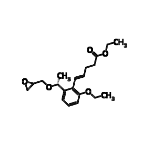 CCOC(=O)CC/C=C/c1c(OCC)cccc1[C@@H](C)OCC1CO1